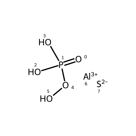 O=P(O)(O)OO.[Al+3].[S-2]